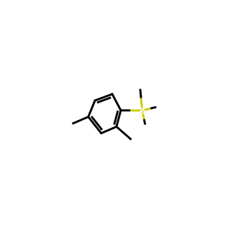 Cc1ccc(S(C)(C)C)c(C)c1